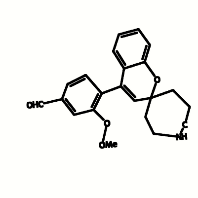 COOc1cc(C=O)ccc1C1=CC2(CCCNCC2)Oc2ccccc21